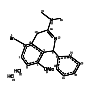 COc1ccc(Br)c2c1C(c1ccccn1)N=C(N(C)C)C2.Cl.Cl